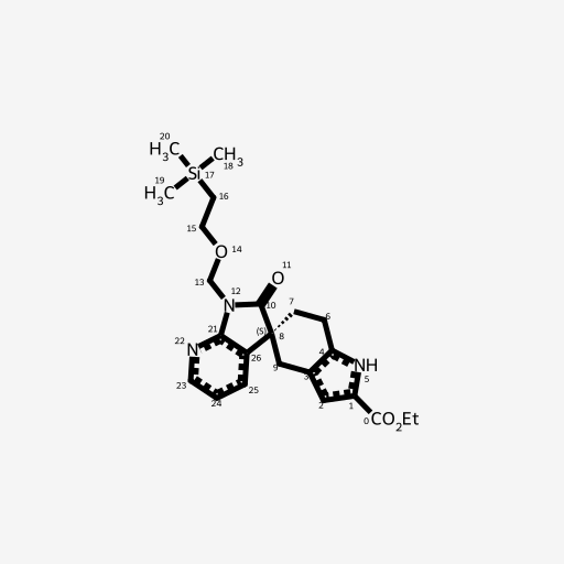 CCOC(=O)c1cc2c([nH]1)CC[C@@]1(C2)C(=O)N(COCC[Si](C)(C)C)c2ncccc21